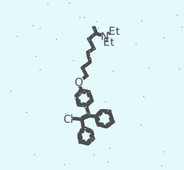 CCN(CC)C(C)CCCCCCOc1ccc(C(=C(Cl)c2ccccc2)c2ccccc2)cc1